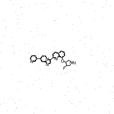 FC1CNCC1Oc1cccc2ccc(-c3cnc4cc(-c5cccnc5)ccn34)nc12